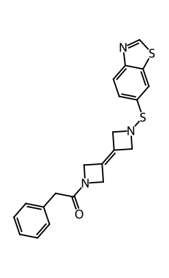 O=C(Cc1ccccc1)N1CC(=C2CN(Sc3ccc4ncsc4c3)C2)C1